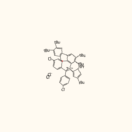 CCCC1C=C(C(C)(C)C)C=[C]1[Zr+2](=[C](c1ccc(Cl)cc1)c1ccc(Cl)cc1)[c]1c2c(cc(C(C)(C)C)c1C(C)(C)C)-c1cc(C(C)(C)C)c(C(C)(C)C)cc1C2.[Cl-].[Cl-]